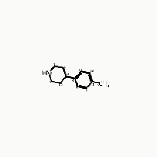 Cc1c[c]c(C2CCNCC2)cc1